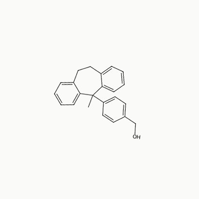 CC1(c2ccc(CO)cc2)c2ccccc2CCc2ccccc21